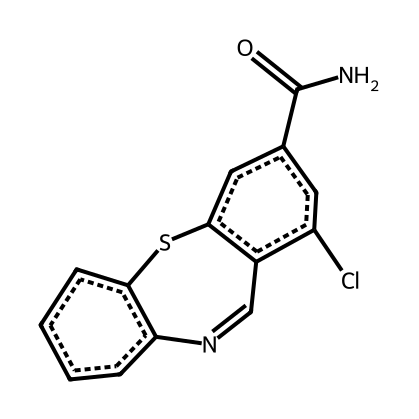 NC(=O)c1cc(Cl)c2c(c1)Sc1ccccc1N=C2